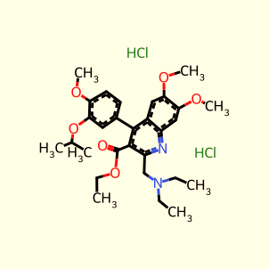 CCOC(=O)c1c(CN(CC)CC)nc2cc(OC)c(OC)cc2c1-c1ccc(OC)c(OC(C)C)c1.Cl.Cl